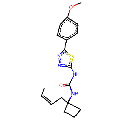 C/C=C\CC1(NC(=O)Nc2nnc(-c3ccc(OC)cc3)s2)CCC1